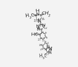 Cc1nnn2cc(-c3ccc(-c4cnc(N5C[C@@H](C)N[C@@H](C)C5)nn4)c(O)c3)ccc12